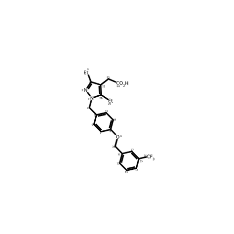 CCc1nn(Cc2ccc(OCc3cccc(C(F)(F)F)c3)cc2)c(CC)c1CC(=O)O